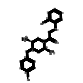 C[C@@H]1CN(C(=O)COc2ccccc2F)[C@@H](C)CN1Cc1ccc(F)cc1